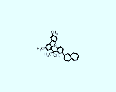 Cc1ccc2c(c1)c1cc(C)cc3c1n2-c1ccc(C2=CC=CC4=CC=CC=CC4=C2)cc1C3(C)C